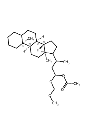 COCOC(CC(C)C1CC[C@H]2[C@@H]3CCC4CCCC[C@]4(C)[C@@H]3CC[C@]12C)OC(C)=O